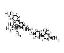 Cc1ccc(-c2cc(CNCCN3CCN(c4ccc(C)cc4C)CC3)nn2C(C)(C)C)cc1